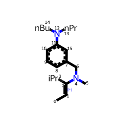 C/C=C(\C(C)C)N(C)Cc1cccc(N(CCC)CCCC)c1